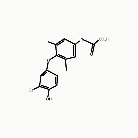 CCc1cc(Oc2c(C)cc(NC(=O)C(=O)O)cc2C)ccc1O